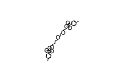 Cc1ccc(S(=O)(=O)OCCOCCOCCCCOOS(=O)(=O)c2ccc(C)cc2)cc1